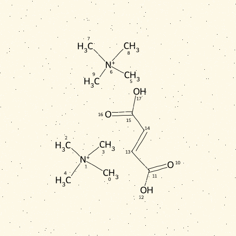 C[N+](C)(C)C.C[N+](C)(C)C.O=C(O)/C=C/C(=O)O